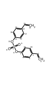 C=Cc1ccc(OS(=O)(=O)Oc2ccc(C=C)cc2)cc1